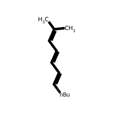 CCCC/C=C/C=C/C=C(C)C